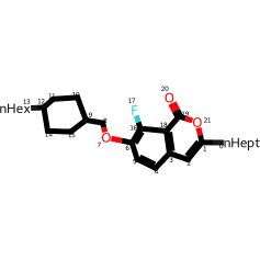 CCCCCCCc1cc2ccc(OCC3CCC(CCCCCC)CC3)c(F)c2c(=O)o1